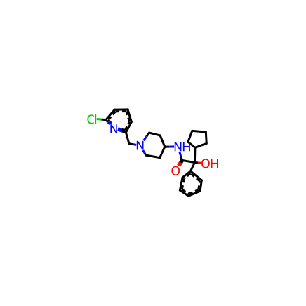 O=C(NC1CCN(Cc2cccc(Cl)n2)CC1)C(O)(c1ccccc1)C1CCCC1